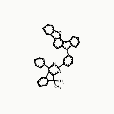 CC1(C)c2ccccc2-c2c(-c3ccccc3)nc(-c3cccc(-n4c5ccccc5c5c6oc7ccccc7c6ccc54)c3)nc21